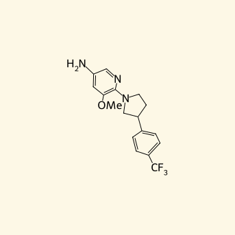 COc1cc(N)cnc1N1CCC(c2ccc(C(F)(F)F)cc2)C1